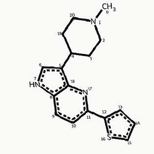 CN1CCC(c2c[nH]c3ccc(-c4cccs4)nc23)CC1